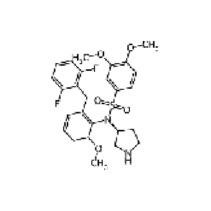 COc1ccc(S(=O)(=O)N(C2=C(Cc3c(F)cccc3F)C=CCC2OC)[C@H]2CCNC2)cc1OC